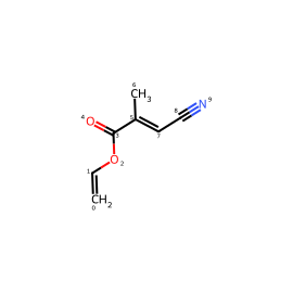 C=COC(=O)C(C)=CC#N